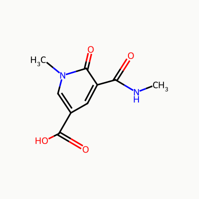 CNC(=O)c1cc(C(=O)O)cn(C)c1=O